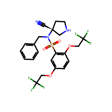 N#C[C@@]1(N(Cc2ccccc2)S(=O)(=O)c2cc(OCC(F)(F)F)ccc2OCC(F)(F)F)CCNC1